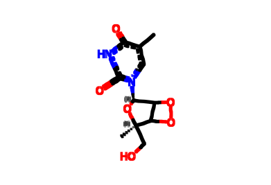 Cc1cn([C@@H]2O[C@](C)(CO)C3OOC32)c(=O)[nH]c1=O